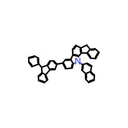 c1ccc(C2c3ccccc3-c3cc(-c4ccc5c(c4)c4ccc6c(c4n5-c4ccc5ccccc5c4)-c4ccccc4C6)ccc32)cc1